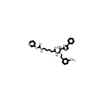 Cc1cccc(CC[C@H](NC(=O)CCCCNC(=O)Oc2cccnc2)C(O)c2ncc(-c3ccccc3)o2)c1